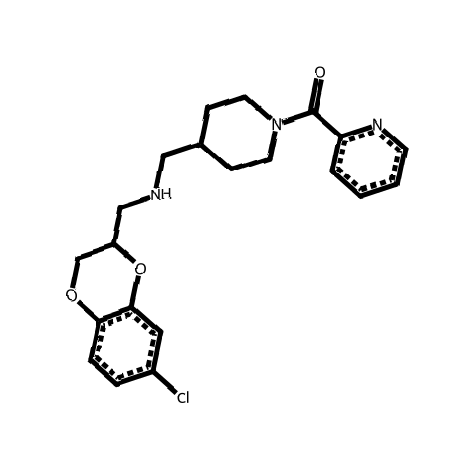 O=C(c1ccccn1)N1CCC(CNCC2COc3ccc(Cl)cc3O2)CC1